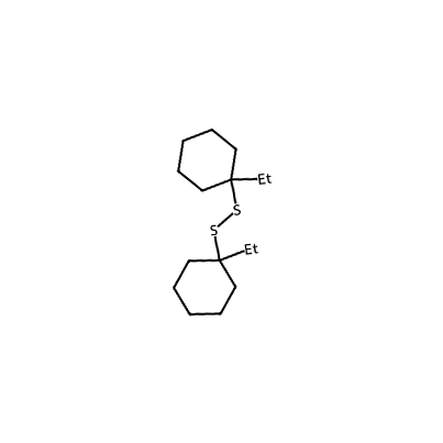 CCC1(SSC2(CC)CCCCC2)CCCCC1